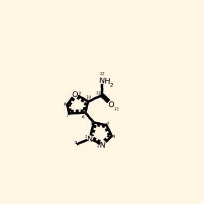 Cn1nccc1-c1ccoc1C(N)=O